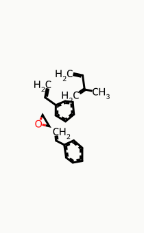 C1CO1.C=CC(=C)C.C=Cc1ccccc1.C=Cc1ccccc1